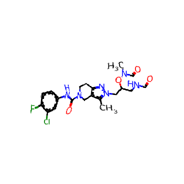 Cc1c2c(nn1CC(CNC=O)ON(C)C=O)CCN(C(=O)Nc1ccc(F)c(Cl)c1)C2